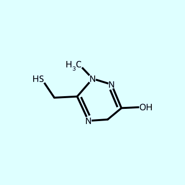 CN1N=C(O)CN=C1CS